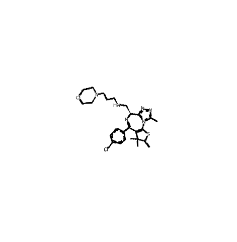 Cc1nnc2n1C1=C(C(c3ccc(Cl)cc3)=N[C@H]2CNCCCN2CCOCC2)C(C)(C)C(C)S1